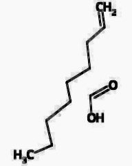 C=CCCCCCCC.O=CO